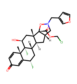 C[C@]12C=CC(=O)C=C1[C@@H](F)C[C@H]1[C@@H]3C[C@H]4CN(Cc5ccoc5)O[C@@]4(C(=O)OCCl)[C@@]3(C)C[C@H](O)[C@@]12F